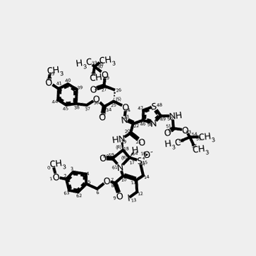 COc1ccc(COC(=O)C2=C(CI)C[S@@+]([O-])[C@@H]3[C@H](NC(=O)C(=NO[C@@H](CC(=O)OC(C)(C)C)C(=O)OCc4ccc(OC)cc4)c4csc(NC(=O)OC(C)(C)C)n4)C(=O)N23)cc1